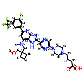 COCC1(CN(C)c2cc(-c3cc(F)cc(C(F)(F)F)c3)nc3nc(-c4cnc(N5CCN(CCCC(=O)O)CC5)cn4)[nH]c23)CCC1